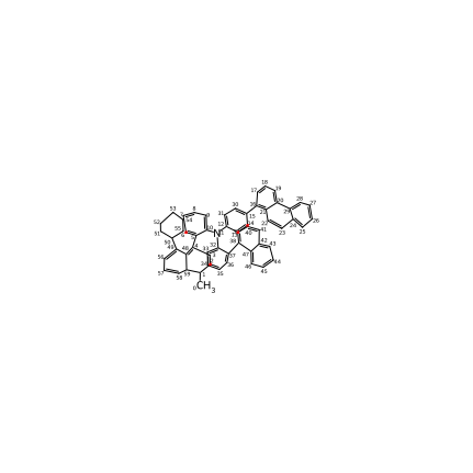 CC1C=CC(c2ccccc2N(c2ccc(-c3cccc4c3ccc3ccccc34)cc2)c2ccccc2-c2cccc3ccccc23)=C2C(C3CCCCC3)=CC=CC21